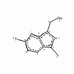 Cc1nc(CO)n2cc(F)ccc12